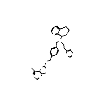 Cc1ncnc(C)c1OC(=O)NCc1ccc(CN(CCc2cnco2)C2CCCc3cccnc32)cc1